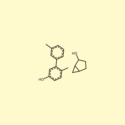 Cc1cccc(-c2cc(O)ccc2C)c1.OC1CCC2CC12